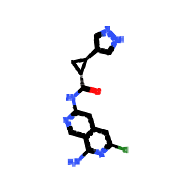 Nc1nc(Cl)cc2cc(NC(=O)[C@@H]3C[C@H]3c3cn[nH]c3)ncc12